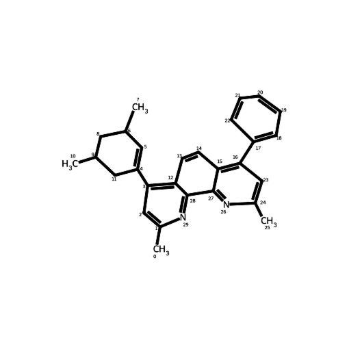 Cc1cc(C2=CC(C)CC(C)C2)c2ccc3c(-c4ccccc4)cc(C)nc3c2n1